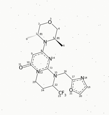 C[C@@H]1COC[C@@H](C)N1c1cc(=O)n2c(n1)N(Cc1ncco1)C(C(F)(F)F)CC2